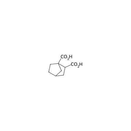 O=C(O)C1CC2CCC1(C(=O)O)C2